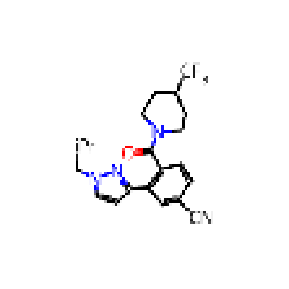 CC(C)Cn1ccc(-c2cc(C#N)ccc2C(=O)N2CCC(C(F)(F)F)CC2)n1